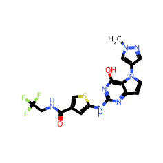 Cn1cc(-n2ccc3nc(Nc4cc(C(=O)NCC(F)(F)F)cs4)nc(O)c32)cn1